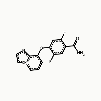 NC(=O)c1cc(F)c(Oc2cccn3ccnc23)cc1F